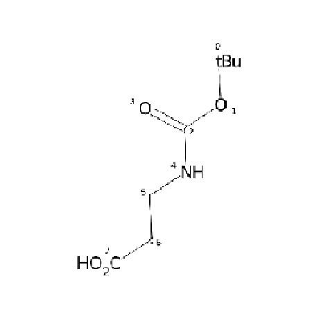 CC(C)(C)OC(=O)NC[CH]C(=O)O